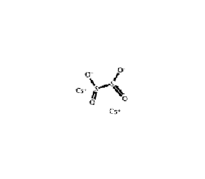 O=S([O-])S(=O)[O-].[Cs+].[Cs+]